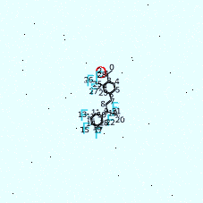 CC(=O)c1ccc(/C=C/C(c2cc(F)c(F)c(F)c2)C(C)(F)F)cc1C(F)(F)F